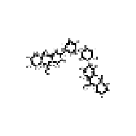 O=c1c2ccccc2oc2cc(-c3cccc(-c4cccc(-c5ccc6c(=O)c7ccccc7oc6c5)c4)c3)ccc12